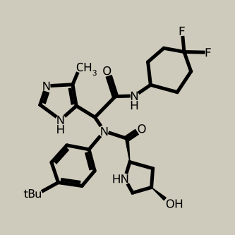 Cc1nc[nH]c1C(C(=O)NC1CCC(F)(F)CC1)N(C(=O)[C@H]1C[C@@H](O)CN1)c1ccc(C(C)(C)C)cc1